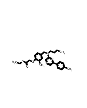 CCCCN(Cc1ccc(OCC(=O)OCC)c(C)c1)c1cncc(-c2ccc(C)cc2)n1